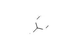 CCCC(OCC)OC(C)C